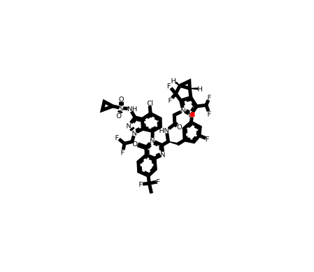 CC(F)(F)c1ccc2c(=O)n(-c3ccc(Cl)c4c(NS(=O)(=O)C5CC5)nn(CC(F)F)c34)c([C@H](Cc3cc(F)cc(F)c3)NC(=O)Cn3nc(C(F)F)c4c3C(F)(F)[C@@H]3C[C@H]43)nc2c1